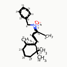 CC1=C(/C=C/C(C)=[N+](/[O-])Cc2ccccc2)C(C)(C)CCC1